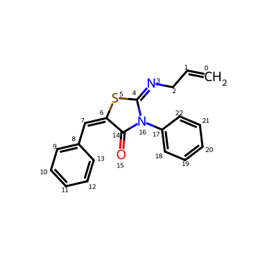 C=CCN=C1SC(=Cc2ccccc2)C(=O)N1c1ccccc1